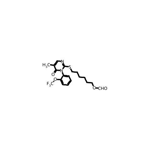 Cc1cnc(SCCCCCCOC=O)n(-c2ccccc2OC(F)(F)F)c1=O